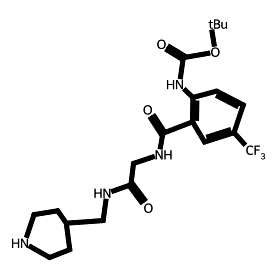 CC(C)(C)OC(=O)Nc1ccc(C(F)(F)F)cc1C(=O)NCC(=O)NCC1CCNCC1